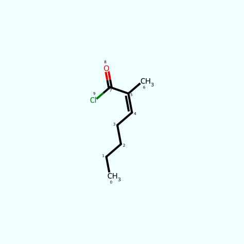 CCCCC=C(C)C(=O)Cl